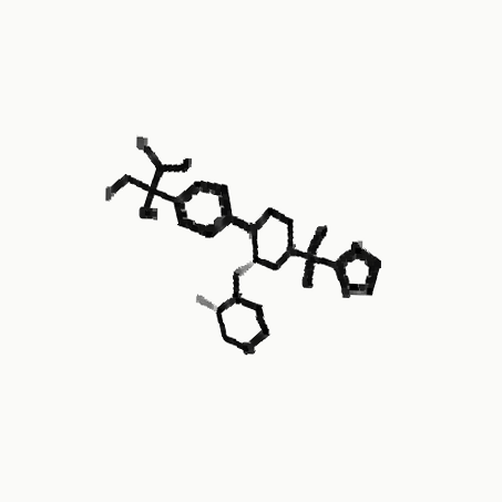 C[C@H]1COCCN1C[C@H]1CN(S(=O)(=O)c2nccs2)CCN1c1ccc(C(O)(CF)C(F)F)cc1